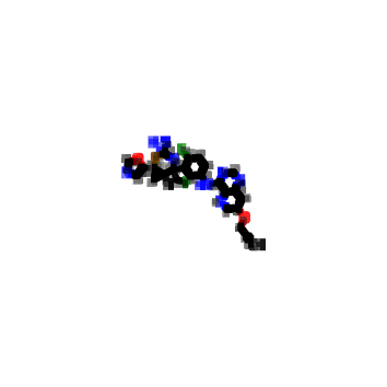 C#CCOc1cnc2c(Nc3ccc(F)c([C@@]4(CF)N=C(N)S[C@@]5(c6cnco6)C[C@@H]45)c3)ncnc2c1